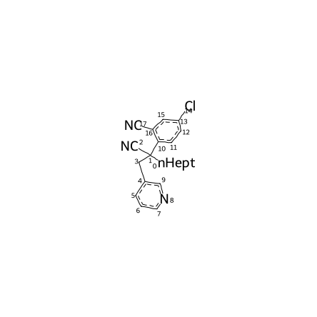 CCCCCCCC(C#N)(Cc1cccnc1)c1ccc(Cl)cc1C#N